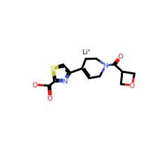 O=C([O-])c1nc(C2=CCN(C(=O)C3COC3)CC2)cs1.[Li+]